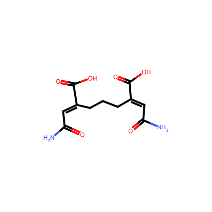 NC(=O)/C=C(\CCC/C(=C\C(N)=O)C(=O)O)C(=O)O